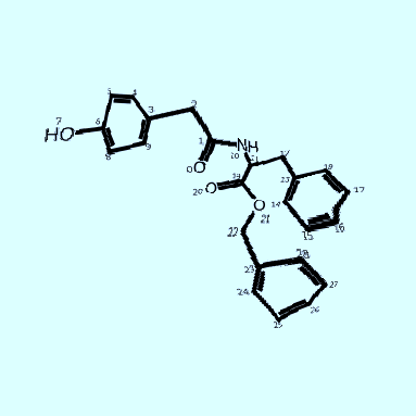 O=C(Cc1ccc(O)cc1)NC(Cc1ccccc1)C(=O)OCc1ccccc1